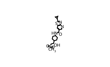 CS(=O)(=O)CC(O)C1CCC(NC(=O)c2cnc3nc(C4CC4)sc3c2)CC1